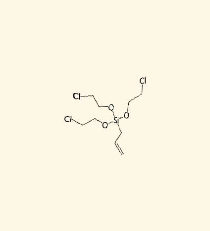 C=CC[Si](OCCCl)(OCCCl)OCCCl